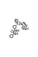 CC(C)CN1CCN(c2ncnc3[nH]ccc23)CC1c1cccc(NC(=O)Nc2ccccc2)c1